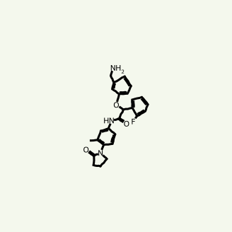 Cc1cc(NC(=O)C(Oc2cccc(CN)c2)c2ccccc2F)ccc1N1CCCC1=O